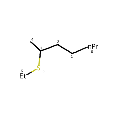 CCCCCC(C)SCC